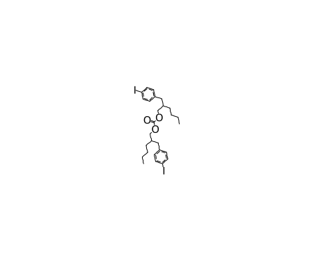 CCCCC(COC(=O)OCC(CCCC)Cc1ccc(I)cc1)Cc1ccc(I)cc1